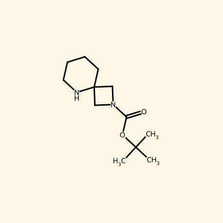 CC(C)(C)OC(=O)N1CC2(CCCCN2)C1